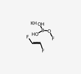 FC=CF.OB(O)OF.[KH]